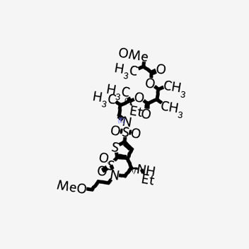 CCN[C@H]1CN(CCCOC)S(=O)(=O)c2sc(S(=O)(=O)/N=C/C(C)[C@](C)(CC)OC(=O)C(C)C(C)OC(=O)C(C)OC)cc21